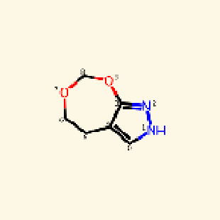 c1[nH]nc2c1CCOCO2